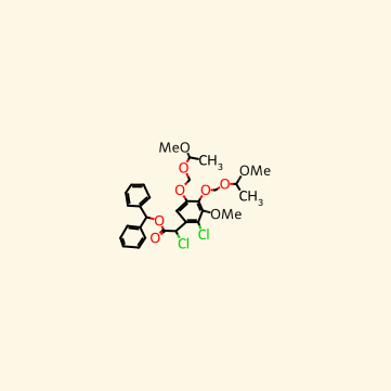 COc1c(Cl)c(C(Cl)C(=O)OC(c2ccccc2)c2ccccc2)cc(OCOC(C)OC)c1OCOC(C)OC